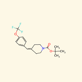 CC(C)(C)OC(=O)N1CCC(=Cc2ccc(OC(F)(F)F)cc2)CC1